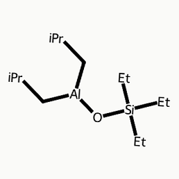 CC[Si](CC)(CC)[O][Al]([CH2]C(C)C)[CH2]C(C)C